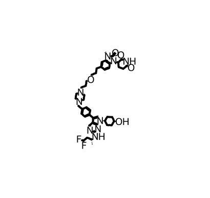 C[C@H](CC(F)F)Nc1ncc2c(-c3ccc(CN4CCN(CCCOCCCc5ccc6c(c5)n(C)c(=O)n6C5CCC(=O)NC5=O)CC4)cc3)cn([C@H]3CC[C@H](O)CC3)c2n1